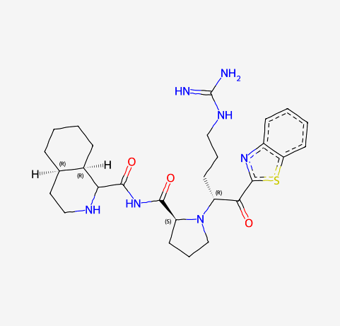 N=C(N)NCCC[C@H](C(=O)c1nc2ccccc2s1)N1CCC[C@H]1C(=O)NC(=O)C1NCC[C@H]2CCCC[C@@H]12